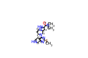 CSc1nc2c(c(N3CC=CN4NC(C(=O)N(C)C)CC4C3)n1)CCNC2